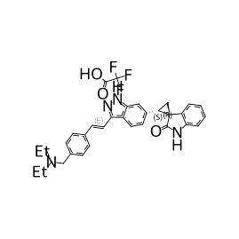 CCN(CC)Cc1ccc(/C=C/c2n[nH]c3cc([C@@H]4C[C@@]45C(=O)Nc4ccccc45)ccc23)cc1.O=C(O)C(F)(F)F